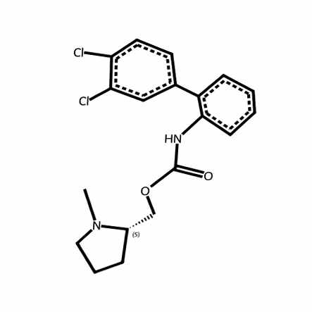 CN1CCC[C@H]1COC(=O)Nc1ccccc1-c1ccc(Cl)c(Cl)c1